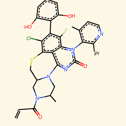 C=CC(=O)N1CC2CSc3c(Cl)c(-c4c(O)cccc4O)c(F)c4c3c(nc(=O)n4-c3c(C)ccnc3C(C)C)N2CC1C